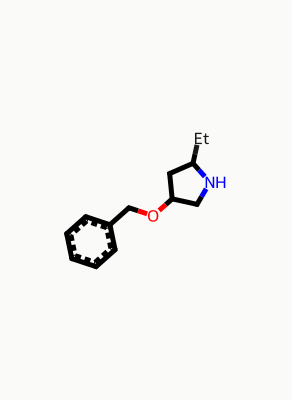 CCC1CC(OCc2ccccc2)CN1